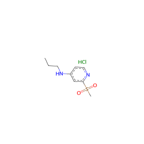 CCCNc1ccnc(S(C)(=O)=O)c1.Cl